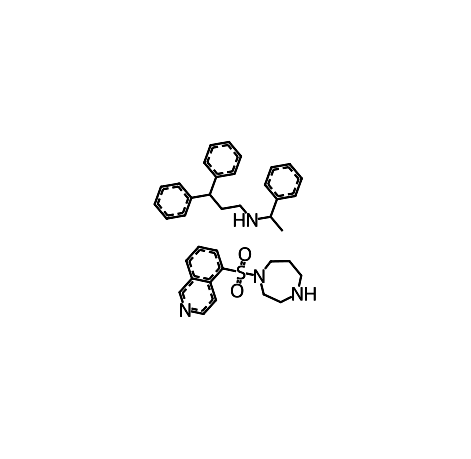 CC(NCCC(c1ccccc1)c1ccccc1)c1ccccc1.O=S(=O)(c1cccc2cnccc12)N1CCCNCC1